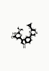 CN(C)c1nc(-c2c[nH]c3ccc(-c4cncc(C5CC5)n4)cc23)cc(=O)[nH]1